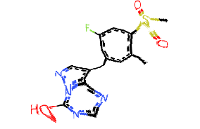 Cc1cc(-c2cnn3c(O)ncnc23)c(F)cc1S(C)(=O)=O